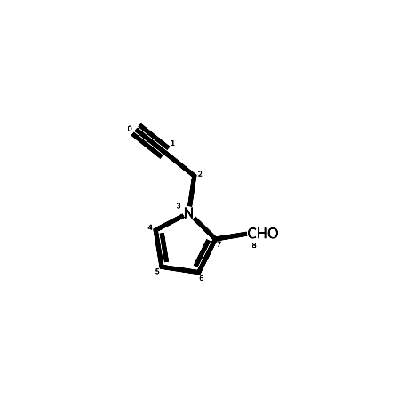 C#CCn1cccc1C=O